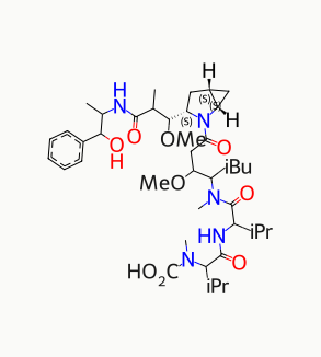 CCC(C)C(C(CC(=O)N1[C@H](C(OC)C(C)C(=O)NC(C)C(O)c2ccccc2)C[C@@H]2C[C@@H]21)OC)N(C)C(=O)C(NC(=O)C(C(C)C)N(C)C(=O)O)C(C)C